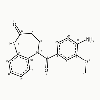 COc1cc(C(=O)N2CCC(=O)Nc3ccccc32)ccc1N